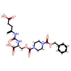 C=C(CCC(=O)O)NC(=O)N[C@@H](COC(=O)N1CCN(C(=O)OCc2ccccc2)CC1)C(=O)O